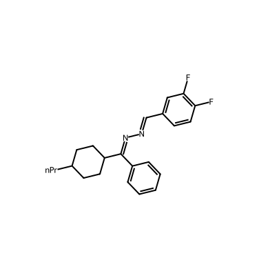 CCCC1CCC(C(=NN=Cc2ccc(F)c(F)c2)c2ccccc2)CC1